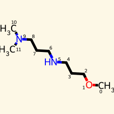 COCCCNCCCN(C)C